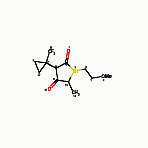 COCC[SH]1C(=O)C(C2(C(F)(F)F)CC2)C(=O)C1C